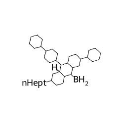 BC1C2CC(C3CCCCC3)CCC2C(C2CCC(C3CCCCC3)CC2)[C@H]2CC(CCCCCCC)CCC12